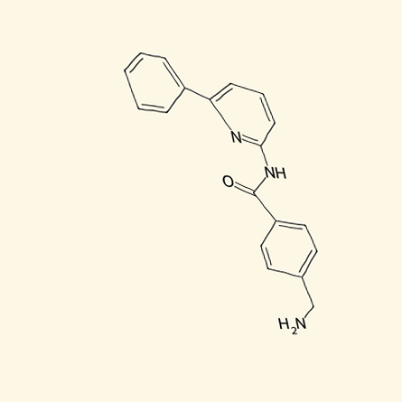 NCc1ccc(C(=O)Nc2cccc(-c3ccccc3)n2)cc1